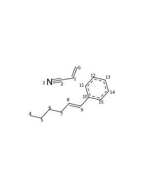 C=CC#N.CCCCC=Cc1ccccc1